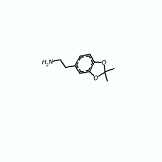 CC1(C)Oc2ccc(CCN)cc2O1